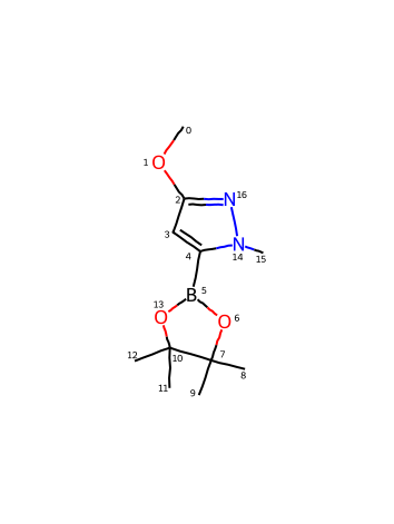 COc1cc(B2OC(C)(C)C(C)(C)O2)n(C)n1